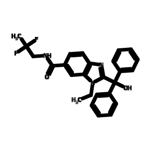 CCn1c(C(O)(c2ccccc2)c2ccccc2)nc2ccc(C(=O)NCC(C)(F)F)cc21